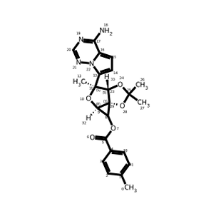 Cc1ccc(C(=O)OC2[C@H]3O[C@@](C)(c4ccc5c(N)ncnn45)[C@@H]4OC(C)(C)O[C@]234)cc1